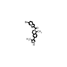 Cc1n[nH]cc1-c1ccc2c(c1)CCN(C(=O)c1cc3ccc(Br)cn3n1)C2C